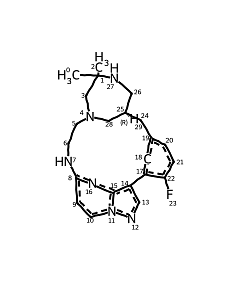 CC1(C)CN2CCNc3ccn4ncc(c4n3)-c3cc(ccc3F)C[C@H](CN1)C2